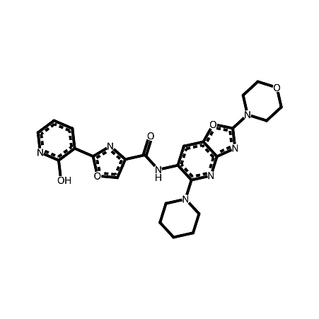 O=C(Nc1cc2oc(N3CCOCC3)nc2nc1N1CCCCC1)c1coc(-c2cccnc2O)n1